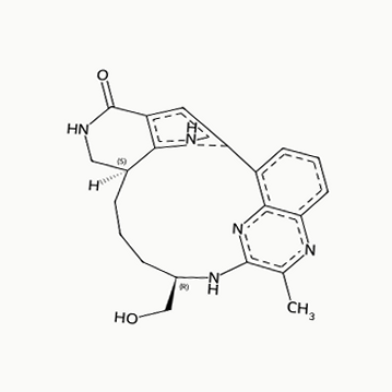 Cc1nc2cccc3c2nc1N[C@@H](CO)CCC[C@H]1CNC(=O)c2cc-3[nH]c21